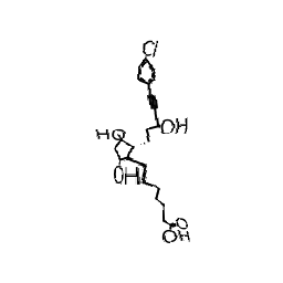 O=C(O)CCCCCCC1[C@@H](CCC(O)C#Cc2ccc(Cl)cc2)[C@H](O)C[C@@H]1O